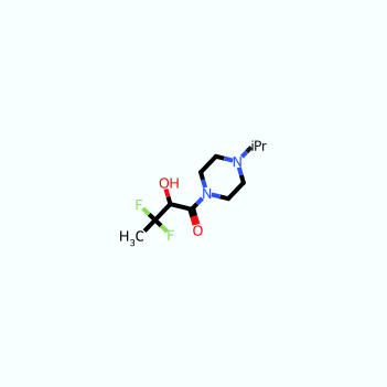 CC(C)N1CCN(C(=O)C(O)C(C)(F)F)CC1